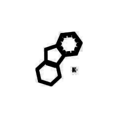 [K].c1ccc2c(c1)CC1=C2CCCC1